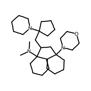 CN(C)C1([C](CC2(N3CCCCC3)CCCC2)CC2(N3CCOCC3)CCCCC2)CCCCC1